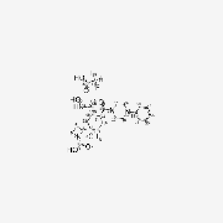 C[C@@]1(C2CCN2C(=O)O)CC[C@H](C(=O)N2CCN(c3ccccc3)CC2)[C@@H](C(=O)NO)C1.O=C(O)C(F)(F)F